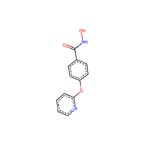 O=C(NO)c1ccc(Oc2ccccn2)cc1